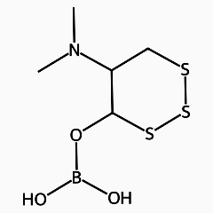 CN(C)C1CSSSC1OB(O)O